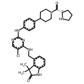 CC1(C)C(=O)Nc2cccc(CNc3nc(Nc4ccc(C5CCN(C(=O)[C@@H]6CCCN6)CC5)cc4)ncc3Cl)c21